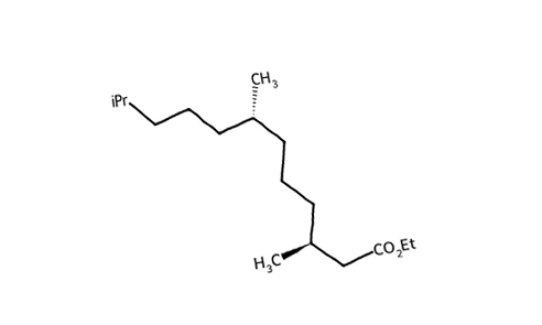 CCOC(=O)C[C@@H](C)CCC[C@@H](C)CCCC(C)C